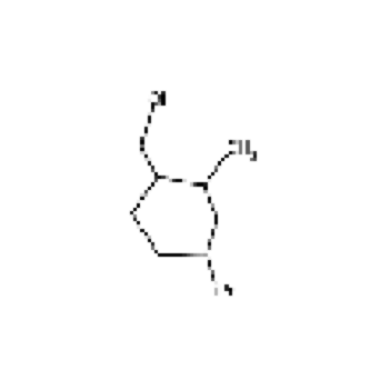 CC(C)C1CCC(CO)C(C)C1